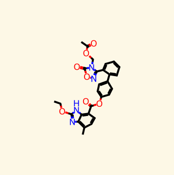 CCOc1nc2c(C)ccc(C(=O)Oc3ccc(-c4ccccc4-c4noc(=O)n4COC(C)=O)cc3)c2[nH]1